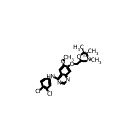 COc1cc2c(Nc3ccc(Cl)c(Cl)c3)ncnc2cc1OCC1CN(C)[C@@H](C)[C@H](C)O1